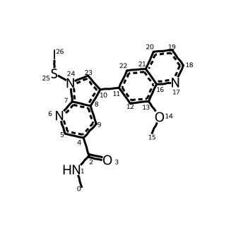 CNC(=O)c1cnc2c(c1)c(-c1cc(OC)c3ncccc3c1)cn2SI